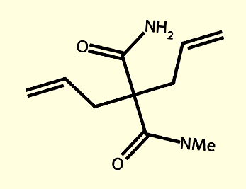 C=CCC(CC=C)(C(N)=O)C(=O)NC